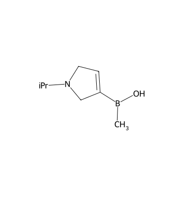 CB(O)C1=CCN(C(C)C)C1